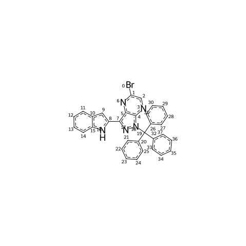 Brc1cnc2c(n1)c(-c1cc3ccccc3[nH]1)nn2C(c1ccccc1)(c1ccccc1)c1ccccc1